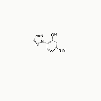 N#Cc1ccc(-n2nccn2)c(O)c1